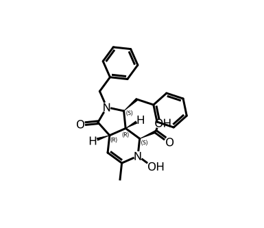 CC1=C[C@@H]2C(=O)N(Cc3ccccc3)[C@@H](Cc3ccccc3)[C@@H]2[C@@H](C(=O)O)N1O